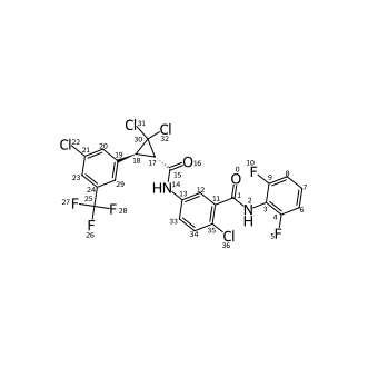 O=C(Nc1c(F)cccc1F)c1cc(NC(=O)[C@@H]2[C@@H](c3cc(Cl)cc(C(F)(F)F)c3)C2(Cl)Cl)ccc1Cl